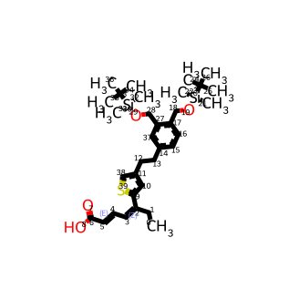 CC/C(=C/C=C/C(=O)O)c1cc(CCc2ccc(CO[Si](C)(C)C(C)(C)C)c(CO[Si](C)(C)C(C)(C)C)c2)cs1